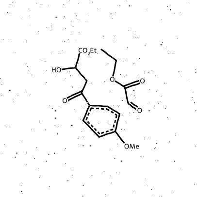 CCOC(=O)C(O)CC(=O)c1ccc(OC)cc1.CCOC(=O)C=O